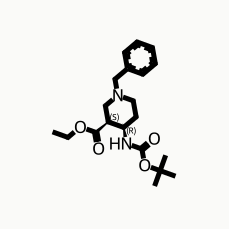 CCOC(=O)[C@H]1CN(Cc2ccccc2)CC[C@H]1NC(=O)OC(C)(C)C